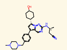 C[C@@H](CC#N)Nc1ncc2c(-c3ccc(CN4CCN(C)CC4)cc3)cc([C@H]3CC[C@H](O)CC3)n2n1